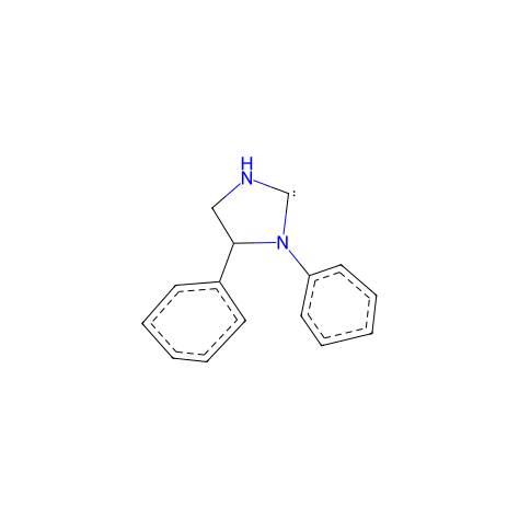 [C]1NCC(c2ccccc2)N1c1ccccc1